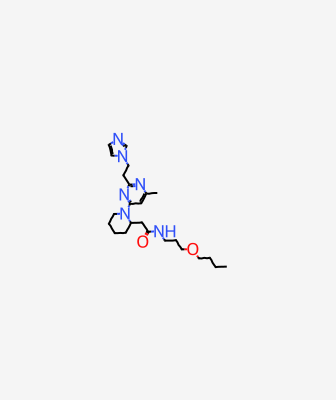 CCCCOCCCNC(=O)CC1CCCCN1c1cc(C)nc(CCn2ccnc2)n1